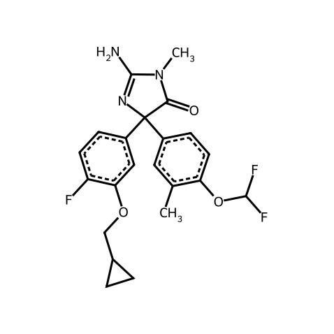 Cc1cc(C2(c3ccc(F)c(OCC4CC4)c3)N=C(N)N(C)C2=O)ccc1OC(F)F